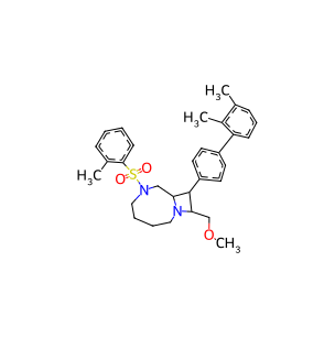 COCC1C(c2ccc(-c3cccc(C)c3C)cc2)C2CN(S(=O)(=O)c3ccccc3C)CCCCN12